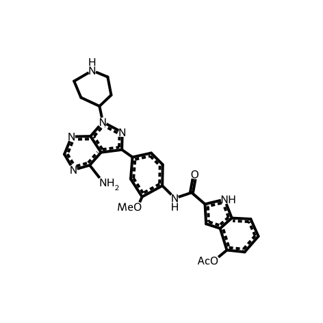 COc1cc(-c2nn(C3CCNCC3)c3ncnc(N)c23)ccc1NC(=O)c1cc2c(OC(C)=O)cccc2[nH]1